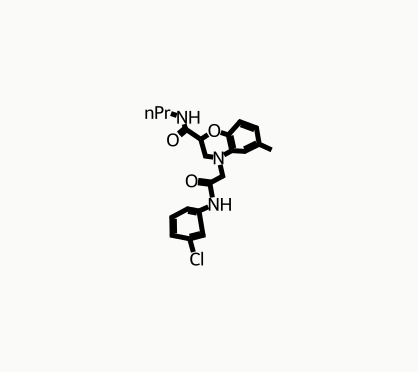 CCCNC(=O)C1CN(CC(=O)Nc2cccc(Cl)c2)c2cc(C)ccc2O1